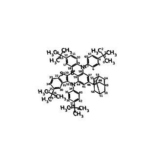 CC(C)(C)c1ccc(N2c3ccc(C(C)(C)C)cc3B3c4sc5ccc(C(C)(C)C)cc5c4N(c4ccc(C(C)(C)C)cc4)c4cc(C56CC7CC(CC(C7)C5)C6)cc2c43)cc1